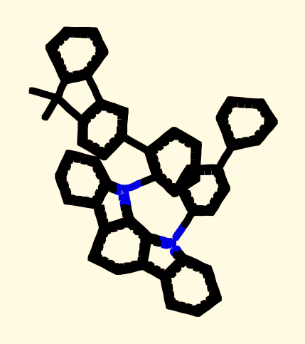 CC1(C)c2ccccc2-c2cc(-c3ccccc3-n3c4ccccc4c4ccc5c6ccccc6n(-c6ccc(-c7ccccc7)cc6)c5c43)ccc21